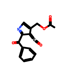 CC(=O)OCC1=CN=C(C(=O)c2ccccc2)C1=C=O